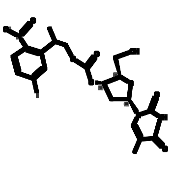 Cc1cn([C@H]2C[C@H](OC(=O)OCC(C)c3cc(I)ccc3[N+](=O)[O-])[C@@H](CO)O2)c(=O)[nH]c1=O